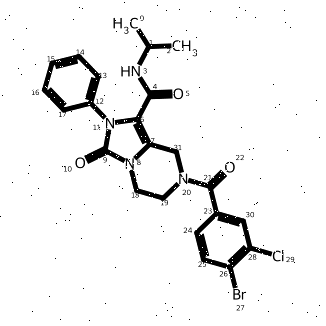 CC(C)NC(=O)c1c2n(c(=O)n1-c1ccccc1)CCN(C(=O)c1ccc(Br)c(Cl)c1)C2